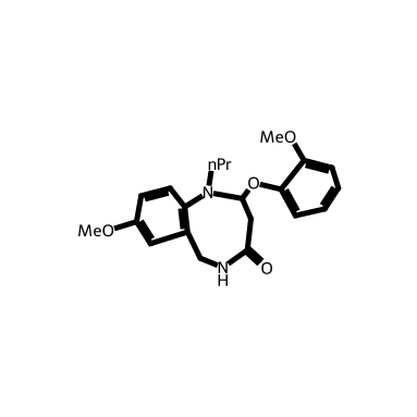 CCCN1c2ccc(OC)cc2CNC(=O)CC1Oc1ccccc1OC